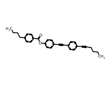 CCCCC#Cc1ccc(C#Cc2ccc(OC(=O)c3ccc(CCCC)cc3)cc2)cc1